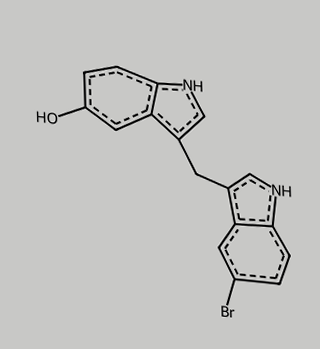 Oc1ccc2[nH]cc(Cc3c[nH]c4ccc(Br)cc34)c2c1